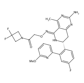 COc1cccc(-c2cc(F)ccc2[C@H]2Cc3nc(N)nc(C)c3/C(=N/OCC(=O)N3CC(F)(F)C3)N2)n1